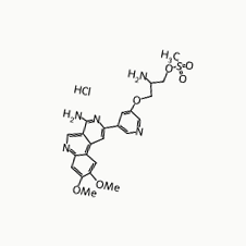 COc1cc2ncc3c(N)nc(-c4cncc(OCC(N)COS(C)(=O)=O)c4)cc3c2cc1OC.Cl